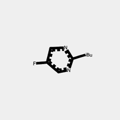 CCC(C)c1ncc(F)cn1